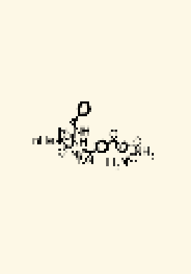 CCCCCCNC(=O)[C@H](Cn1cc(-c2ccc(C(=O)N3C[C@@H](C(N)=O)[C@H](C(N)=O)C3)cc2)nn1)NC(=O)N[C@H]1C[C@@H]1c1ccccc1